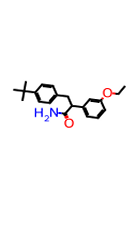 CCOc1cccc(C(Cc2ccc(C(C)(C)C)cc2)C(N)=O)c1